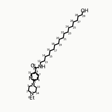 CCN1CCN(c2ccc(C(=O)NCCCCCCCCCCCCCCCCCCO)cn2)CC1